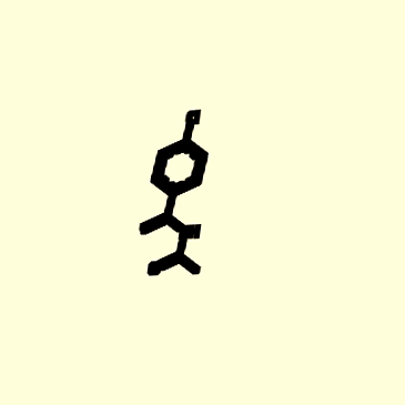 C=C(NC(C)=O)c1ccc(Cl)cc1